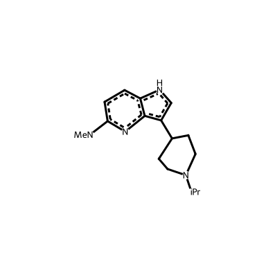 CNc1ccc2[nH]cc(C3CCN(C(C)C)CC3)c2n1